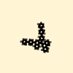 c1ccc(-c2ccc(-c3ccc4c(c3)c3cc(-c5ccc(-c6ccccn6)nc5)c5ccccc5c3n4-c3cc4cccnc4c4ncccc34)cn2)nc1